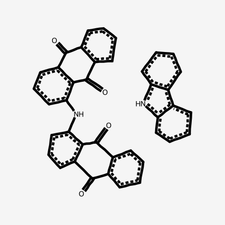 O=C1c2ccccc2C(=O)c2c(Nc3cccc4c3C(=O)c3ccccc3C4=O)cccc21.c1ccc2c(c1)[nH]c1ccccc12